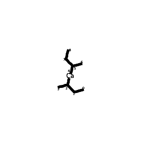 CC[CH](C)[Ca][CH](C)CC